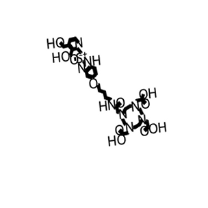 O=C(O)CN1CCN(CC(=O)O)CCN(CC(=O)NCCCCCOc2ccc3[nH]c([S+]([O-])Cc4nccc(CO)c4CO)nc3c2)CCN(CC(=O)O)CC1